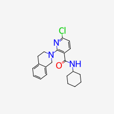 O=C(NC1CCCCC1)c1ccc(Cl)nc1N1CCc2ccccc2C1